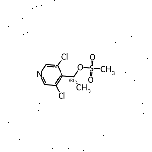 C[C@@H](OS(C)(=O)=O)c1c(Cl)cncc1Cl